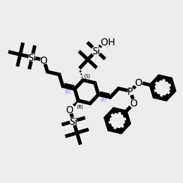 CC(C)(C[C@@H]1C/C(=C\CP(Oc2ccccc2)Oc2ccccc2)C[C@@H](O[Si](C)(C)C(C)(C)C)/C1=C/CCO[Si](C)(C)C(C)(C)C)[Si](C)(C)O